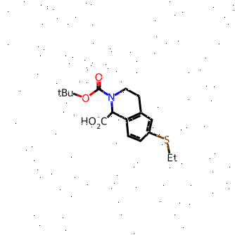 CCSc1ccc2c(c1)CCN(C(=O)OC(C)(C)C)C2C(=O)O